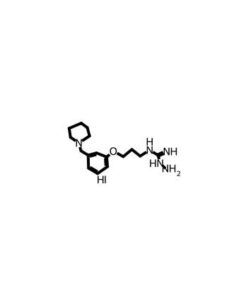 I.N=C(NN)NCCCOc1cccc(CN2CCCCC2)c1